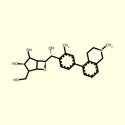 Cc1cc(-c2cccc3c2CCN(C)C3)ccc1[C@@H](O)[C@H]1OC2C(CO)[C@@H](O)C(O)C21